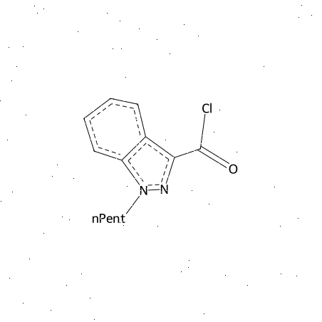 CCCCCn1nc(C(=O)Cl)c2ccccc21